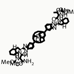 CCc1cc2c(-c3ccc4[nH]c([C@@H]5C[C@@H]6CCCC[C@@H]6N5C(=O)[C@@H](NC(=O)OC)[C@@H](N)OC)nc4c3)cc1CCc1cc3c(cc1-c1ccc4[nH]c([C@@H]5C[C@@H]6CCCC[C@@H]6N5C(=O)[C@@H](NC(=O)OC)[C@@H](C)OC)nc4c1)CC2C3